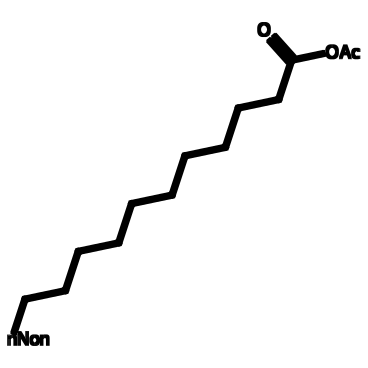 CCCCCCCCCCCCCCCCCCCC(=O)OC(C)=O